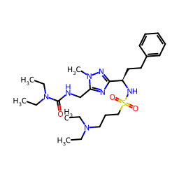 CCN(CC)CCCS(=O)(=O)N[C@H](CCc1ccccc1)c1nc(CNC(=O)N(CC)CC)n(C)n1